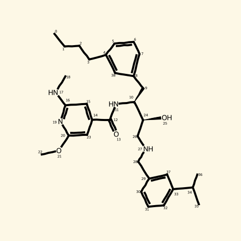 CCCCc1cccc(C[C@H](NC(=O)c2cc(NC)nc(OC)c2)[C@@H](O)CNCc2cccc(C(C)C)c2)c1